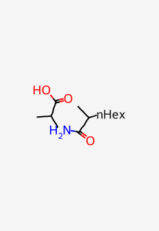 CC(C)C(=O)O.CCCCCCC(C)C(N)=O